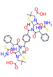 CC1(C)S[C@@H]2[C@H](N(C(=O)c3ccc(C(=O)N(C(=O)C(NC(N)=S)c4ccccc4)[C@@H]4C(=O)N5[C@@H]4SC(C)(C)[C@@H]5C(=O)O)cc3)C(=O)C(NC(N)=S)c3ccccc3)C(=O)N2[C@H]1C(=O)O